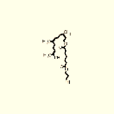 [2H]CCCOC(=O)CCCCCC(=O)OCC=C(C)CCC=C(C)CCC=C(C)C